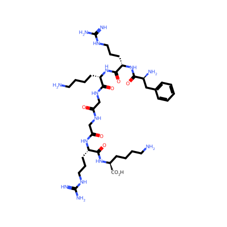 N=C(N)NCCC[C@H](NC(=O)CNC(=O)CNC(=O)[C@H](CCCCN)NC(=O)[C@H](CCCNC(=N)N)NC(=O)[C@@H](N)Cc1ccccc1)C(=O)N[C@@H](CCCCN)C(=O)O